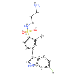 CCc1cc(-c2c[nH]c3cc(F)ccc23)ccc1S(=O)(=O)NCCCN